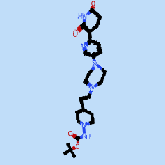 CC(C)(C)OC(=O)NN1CCC(CCN2CCN(c3ccc(C4CCC(=O)NC4=O)nc3)CC2)CC1